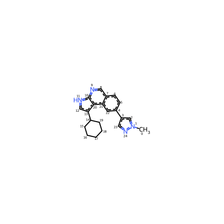 Cn1cc(-c2ccc3cnc4[nH]cc(C5CCCCC5)c4c3c2)cn1